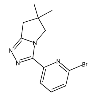 CC1(C)Cc2nnc(-c3cccc(Br)n3)n2C1